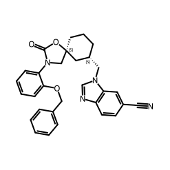 N#Cc1ccc2ncn(C[C@H]3CCC[C@]4(C3)CN(c3ccccc3OCc3ccccc3)C(=O)O4)c2c1